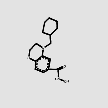 O=C(NO)c1ccc2c(c1)N(CC1CCCCC1)CCO2